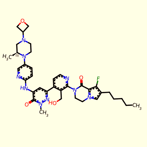 CCCCCc1cn2c(c1F)C(=O)N(c1nccc(-c3cc(Nc4ccc(N5CCN(C6COC6)C[C@@H]5C)cn4)c(=O)n(C)n3)c1CO)CC2